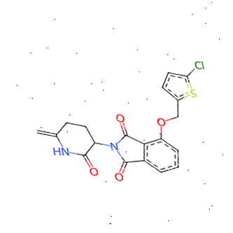 C=C1CCC(N2C(=O)c3cccc(OCc4ccc(Cl)s4)c3C2=O)C(=O)N1